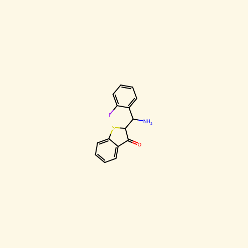 NC(c1ccccc1I)C1Sc2ccccc2C1=O